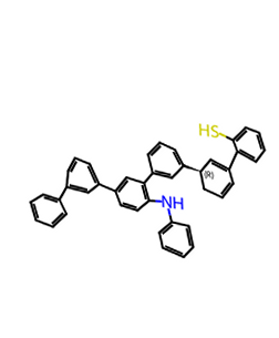 Sc1ccccc1C1=C[C@H](c2cccc(-c3cc(-c4cccc(-c5ccccc5)c4)ccc3Nc3ccccc3)c2)CC=C1